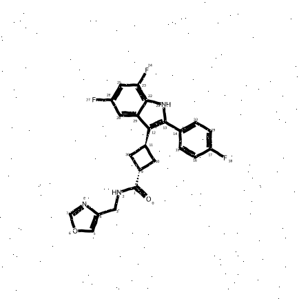 O=C(NCc1cocn1)[C@H]1C[C@H](c2c(-c3ccc(F)cc3)[nH]c3c(F)cc(F)cc32)C1